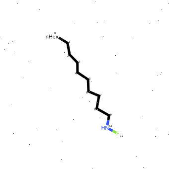 CCCCCCCCCCCCCCCNF